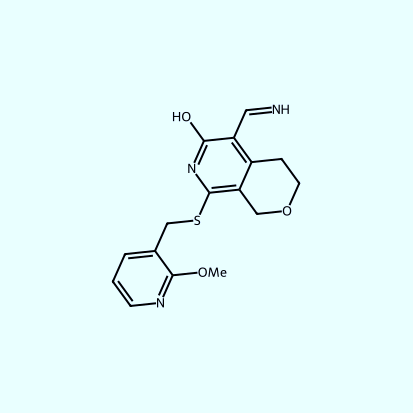 COc1ncccc1CSc1nc(O)c(C=N)c2c1COCC2